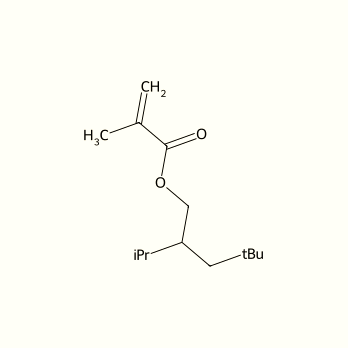 C=C(C)C(=O)OCC(CC(C)(C)C)C(C)C